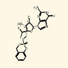 Nc1nc2c(ncn2[C@@H]2O[C@@](COP3(=S)OCc4ccccc4O3)(C(F)F)[C@H](O)[C@H]2F)c(=O)[nH]1